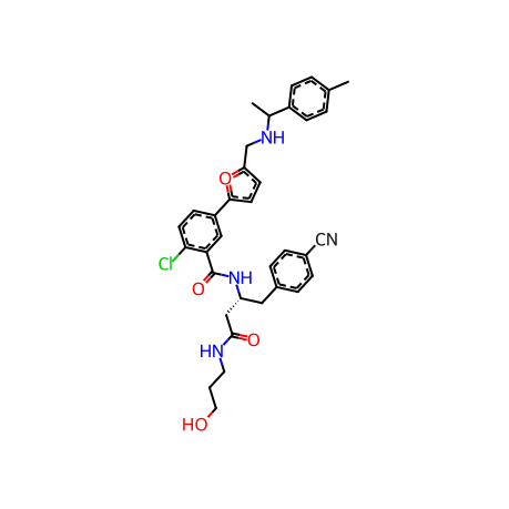 Cc1ccc(C(C)NCc2ccc(-c3ccc(Cl)c(C(=O)N[C@@H](CC(=O)NCCCO)Cc4ccc(C#N)cc4)c3)o2)cc1